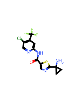 NC1(c2ncc(C(=O)Nc3cc(C(F)(F)F)c(Cl)cn3)s2)CC1